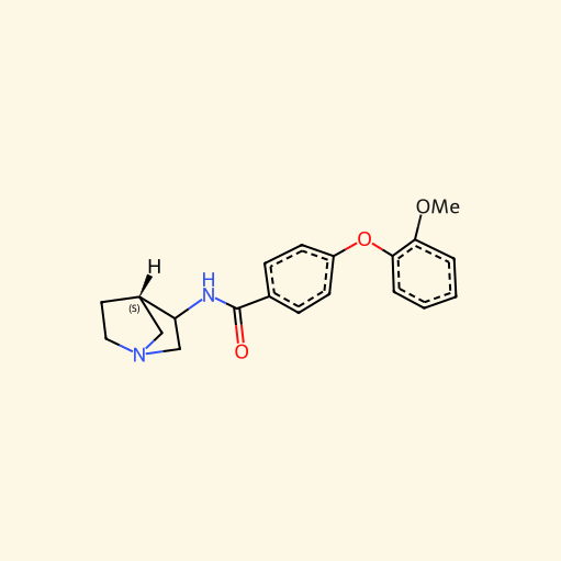 COc1ccccc1Oc1ccc(C(=O)NC2CN3CC[C@H]2C3)cc1